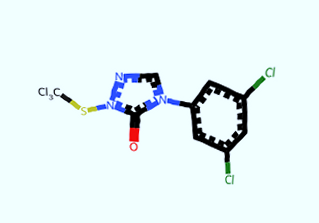 O=c1n(-c2cc(Cl)cc(Cl)c2)cnn1SC(Cl)(Cl)Cl